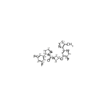 Cc1scnc1-c1cc(OC2CN(C(=O)N3N=CCC3c3cc(F)cc(F)c3)C2)c(F)cn1